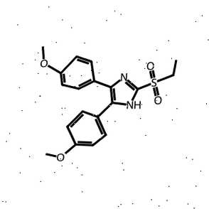 CCS(=O)(=O)c1nc(-c2ccc(OC)cc2)c(-c2ccc(OC)cc2)[nH]1